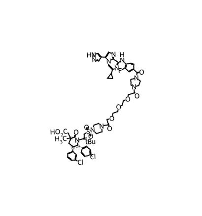 CC(C)(C)[C@@H](CS(=O)(=O)N1CCN(C(=O)COCCOCCOCC(=O)N2CCN(C(=O)c3ccc(Nc4nc(C5CC5)cn5c(-c6cn[nH]c6)cnc45)c(F)c3)CC2)CC1)N1C(=O)[C@@](C)(CC(=O)O)C[C@H](c2cccc(Cl)c2)[C@H]1c1ccc(Cl)cc1